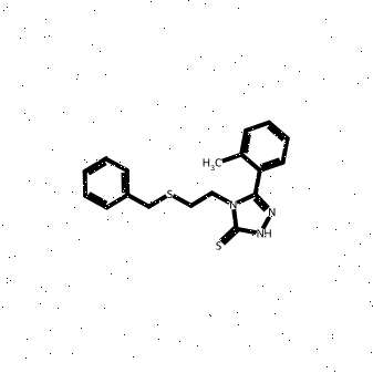 Cc1ccccc1-c1n[nH]c(=S)n1CCSCc1ccccc1